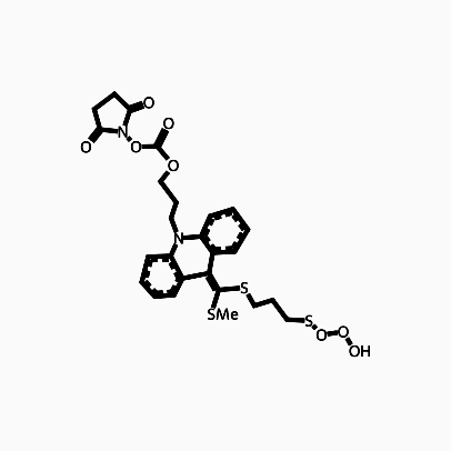 CSC(SCCCSOOO)=C1c2ccccc2N(CCCOC(=O)ON2C(=O)CCC2=O)c2ccccc21